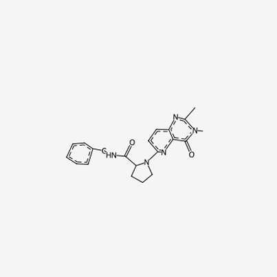 Cc1nc2ccc(N3CCCC3C(=O)NCc3ccccc3)nc2c(=O)n1C